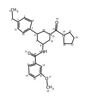 CCc1ccc(C2CC(NC(=O)c3cccc(OC)c3)CN(C(=O)N3CCCC3)C2)cc1